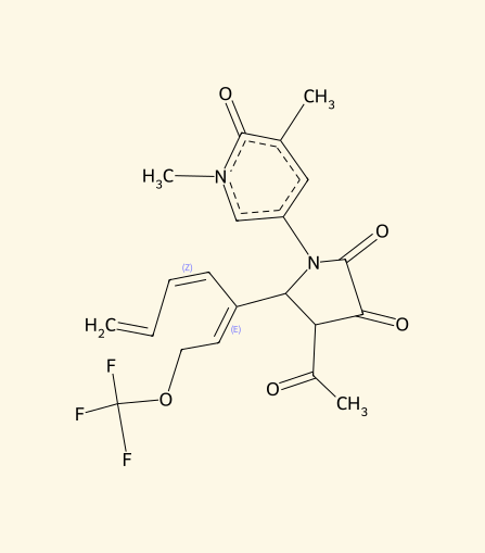 C=C/C=C\C(=C/COC(F)(F)F)C1C(C(C)=O)C(=O)C(=O)N1c1cc(C)c(=O)n(C)c1